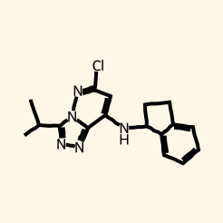 CC(C)c1nnc2c(NC3CCc4ccccc43)cc(Cl)nn12